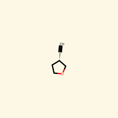 C#C[C@H]1CCOC1